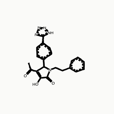 CC(=O)C1=C(O)C(=O)N(CCc2ccccc2)C1c1ccc(-c2nnn[nH]2)cc1